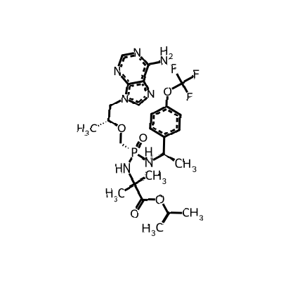 CC(C)OC(=O)C(C)(C)N[P@](=O)(CO[C@H](C)Cn1cnc2c(N)ncnc21)N[C@H](C)c1ccc(OC(F)(F)F)cc1